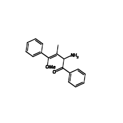 COC(=C(C)C(N)C(=O)c1ccccc1)c1ccccc1